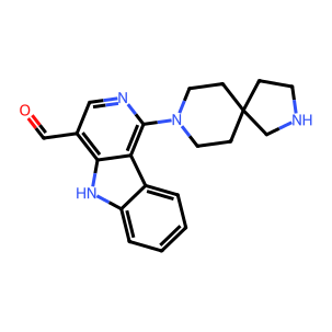 O=Cc1cnc(N2CCC3(CCNC3)CC2)c2c1[nH]c1ccccc12